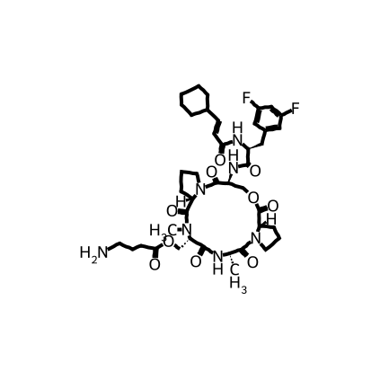 C[C@@H]1NC(=O)[C@H](COC(=O)CCCN)N(C)C(=O)[C@@H]2CCCN2C(=O)[C@@H](NC(=O)[C@H](Cc2cc(F)cc(F)c2)NC(=O)/C=C/C2CCCCC2)COC(=O)[C@@H]2CCCN2C1=O